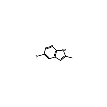 Brc1cnc2[nH]c(I)cc2c1